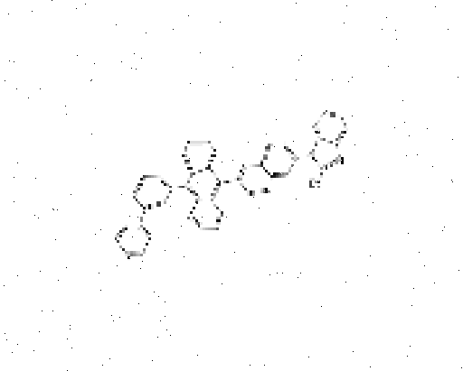 CCc1nc2ccccc2n1-c1ccc2cc(-c3c4ccccc4c(-c4cccc(-c5ccncc5)c4)c4ccccc34)ccc2c1